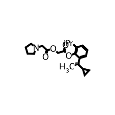 CC(C)c1cccc([C@H](C)C2CC2)c1OC(=O)COC(=O)CN1CCCC1